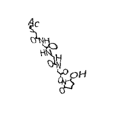 CC(=O)SCC(=O)NCC(=O)NCC(=O)NCC(=O)ON1C(=O)CCC1O